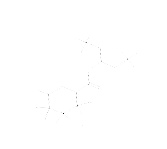 CCC1CC(C(=O)OC(CC(C)(O)C(F)(F)F)CC(O)(C(F)(F)F)C(F)(F)F)C(F)(F)C(C)(F)C1(F)F